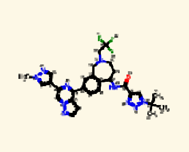 Cn1cc(-c2cn3nccc3c(-c3ccc4c(c3)CN(CC(F)(F)F)CCC4NC(=O)c3cn(C(C)(C)C)nn3)n2)cn1